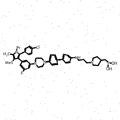 CSc1c(-c2cc(F)cc(N3CCN(c4ccc(-c5ccc(NCCCN6CCC(CP(O)O)CC6)cc5)cc4)CC3)c2)c(-c2ccc(Cl)cc2)n(C(C)C)c1C